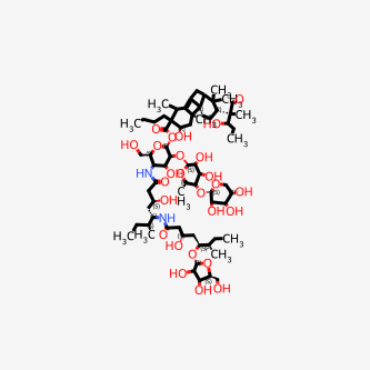 CCCCC1(C(=O)O[C@@H]2O[C@H](CO)C(NC(=O)C[C@@H](O)C[C@H](NC(=O)C[C@@H](O)C[C@H](O[C@@H]3O[C@@H](CO)C(O)C3O)[C@@H](C)CC)[C@@H](C)CC)C(O)C2O[C@@H]2O[C@H](C)C(O[C@@H]3OC[C@@H](O)C(O)C3O)C(O)C2O)C(C)C2=C3CC4C(C)(C)[C@H](C(C)(C=O)C(O)CC)CC[C@]34[C@]2(C)C[C@H]1O